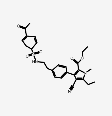 CCOC(=O)c1c(-c2ccc(CCNS(=O)(=O)C3C=CC(C(C)=O)=CC3)cc2)c(C#N)c(CC)n1C